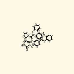 COc1ccccc1CNc1ccc(C[C@H](NC(=O)[C@@H]2OCO[C@H]2C(=O)Nc2ccccc2-c2ccccc2)C(=O)O)cc1